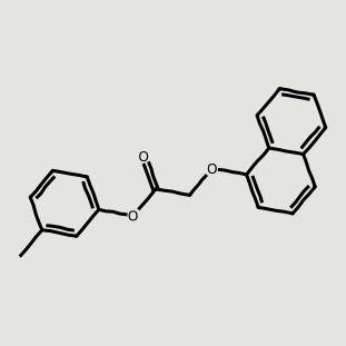 Cc1cccc(OC(=O)COc2cccc3ccccc23)c1